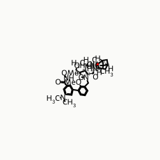 CONC(=O)c1cc(-c2cccc(CN3O[C@@H](CO)[C@@H]([C@H](C)O)[C@H]3C(=O)N[C@H]3C[C@H]4C[C@@H]([C@@H]3C)C4(C)C)c2OC)cc(N(C)C)c1